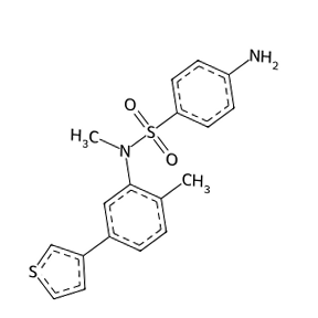 Cc1ccc(-c2ccsc2)cc1N(C)S(=O)(=O)c1ccc(N)cc1